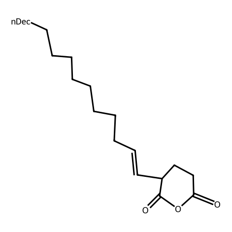 CCCCCCCCCCCCCCCCCCC=CC1CCC(=O)OC1=O